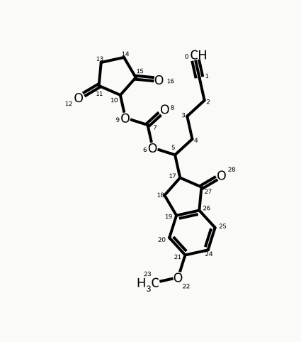 C#CCCCC(OC(=O)OC1C(=O)CCC1=O)C1Cc2cc(OC)ccc2C1=O